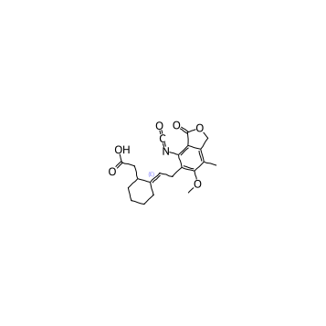 COc1c(C)c2c(c(N=C=O)c1C/C=C1\CCCCC1CC(=O)O)C(=O)OC2